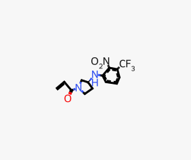 C=CC(=O)N1CC[C@H](Nc2cccc(C(F)(F)F)c2[N+](=O)[O-])C1